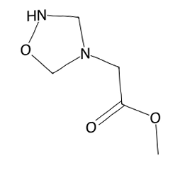 COC(=O)CN1CNOC1